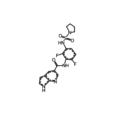 O=C(Nc1c(F)ccc(NS(=O)(=O)N2CCCC2)c1F)c1cnc2[nH]ccc2c1